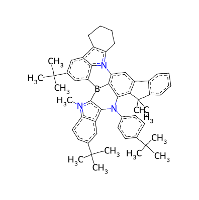 Cn1c2c(c3cc(C(C)(C)C)ccc31)N(c1ccc(C(C)(C)C)cc1)c1c3c(cc4c1C(C)(C)c1ccccc1-4)-n1c4c(c5cc(C(C)(C)C)cc(c51)B32)CCCC4